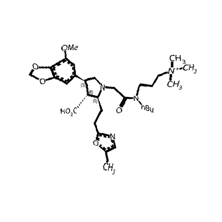 CCCCN(CCC[N+](C)(C)C)C(=O)CN1C[C@H](c2cc(OC)c3c(c2)OCO3)[C@@H](C(=O)O)[C@@H]1CCc1ncc(C)o1